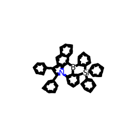 c1ccc(-c2c(-c3ccccc3)n3c4c(c5ccccc5cc24)B2c4ccccc4[Si](c4ccccc4)(c4ccccc4)c4cccc-3c42)cc1